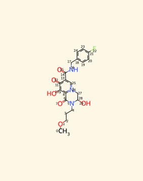 COCCCN1C(=O)c2c(O)c(=O)c(C(=O)NCc3ccc(F)cc3)cn2CC1O